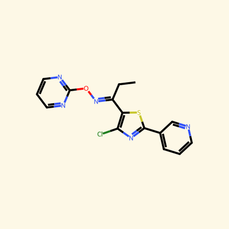 CC/C(=N\Oc1ncccn1)c1sc(-c2cccnc2)nc1Cl